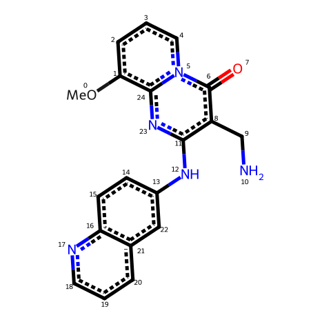 COc1cccn2c(=O)c(CN)c(Nc3ccc4ncccc4c3)nc12